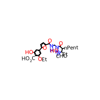 CCCCCC(C(=O)NCNC(=O)c1ccc(-c2cc(O)c(C(=O)O)c(OCC)c2)o1)[C@@H](CC)N(O)C=O